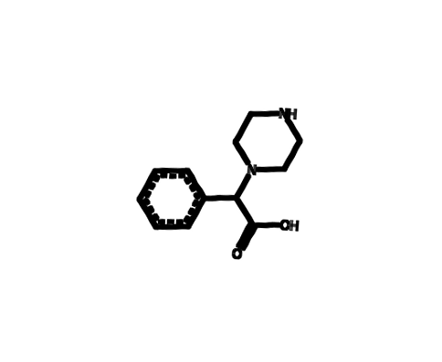 O=C(O)C(c1ccccc1)N1CCNCC1